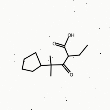 CCC(C(=O)O)C(=O)C(C)(C)C1CCCC1